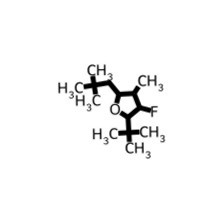 CC1C(CC(C)(C)C)OC(C(C)(C)C)C1F